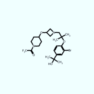 CC(C)(CN1CC(OC2CCN(C(=O)C(F)(F)F)CC2)C1)Oc1ccc(C(C)(C)O)cc1Br